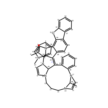 Cc1ccccc1N1C=CN2CCCN3C=CN(c4ccccc4/C(=C4\c5ccc6c(oc7ccccc76)c5N5C=CN(C)C45)C21)C3C